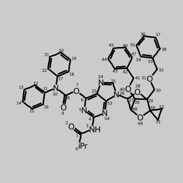 CC(C)C(=O)Nc1nc(OC(=O)N(c2ccccc2)c2ccccc2)c2ncn(C3OC4(COCc5ccccc5)C(OCc5ccccc5)C3OC43CC3)c2n1